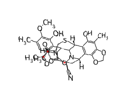 COc1c(C)cc2c(c1O)C1C3[C@@H]4SCC(NC(C)=O)C(=O)OC[C@@H](c5c6c(c(C)c(O)c54)OCO6)N3[C@@H](C#N)C(C2)N1C(C)=O